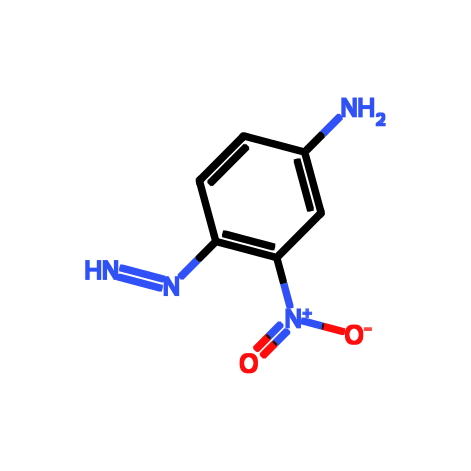 N=Nc1ccc(N)cc1[N+](=O)[O-]